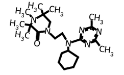 Cc1nc(C)nc(N(CCN2CC(C)(C)N(C)C(C)(C)C2=O)C2CCCCC2)n1